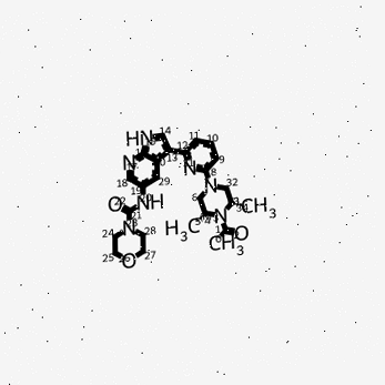 CC(=O)N1[C@H](C)CN(c2cccc(-c3c[nH]c4ncc(NC(=O)N5CCOCC5)cc34)n2)C[C@@H]1C